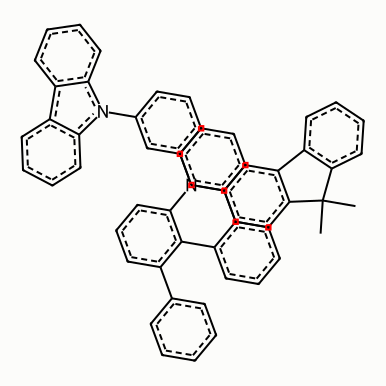 CC1(C)c2ccccc2-c2cc(N(c3cccc(-n4c5ccccc5c5ccccc54)c3)c3cccc(-c4ccccc4)c3-c3ccccc3-c3ccccc3)ccc21